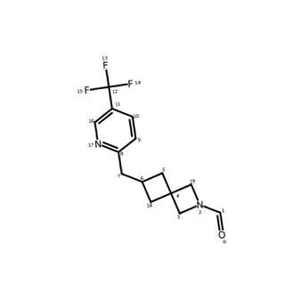 O=CN1CC2(CC(Cc3ccc(C(F)(F)F)cn3)C2)C1